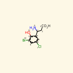 NC(CC(=O)O)c1cc(Cl)cc(Br)c1O